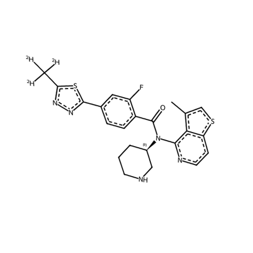 [2H]C([2H])([2H])c1nnc(-c2ccc(C(=O)N(c3nccc4scc(C)c34)[C@@H]3CCCNC3)c(F)c2)s1